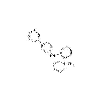 CC1(c2ccccc2Nc2ccc(-c3ccccc3)cc2)C=CC=CC1